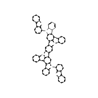 C1=CC2c3c(cc4c5cc6c(cc5n5c7ccccc7c3c45)c3cc4c(c5ccccc5n4-c4cccc5c4oc4ccccc45)c4c5ccccc5n6c34)N(c3cccc4c3oc3ccccc34)C2C=C1